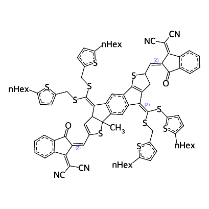 CCCCCCc1ccc(CSC(SCc2ccc(CCCCCC)s2)=C2c3cc4c(cc3C3(C)SC(/C=C5\C(=O)c6ccccc6C5=C(C#N)C#N)=CC23)/C(=C(\SCc2ccc(CCCCCC)s2)Sc2ccc(CCCCCC)s2)C2=C4SC(/C=C3\C(=O)c4ccccc4C3=C(C#N)C#N)C2)s1